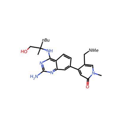 CCCCC(C)(CO)Nc1nc(N)nc2cc(-c3cc(=O)n(C)cc3CNC)ccc12